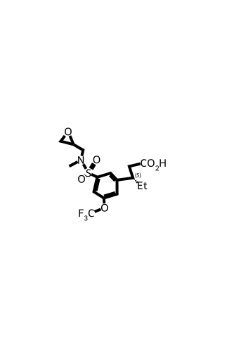 CC[C@@H](CC(=O)O)c1cc(OC(F)(F)F)cc(S(=O)(=O)N(C)CC2CO2)c1